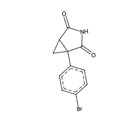 O=C1NC(=O)C2(c3ccc(Br)cc3)CC12